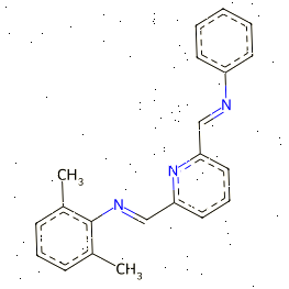 Cc1cccc(C)c1/N=C/c1cccc(/C=N/c2ccccc2)n1